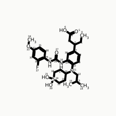 CCC(CC(=O)O)c1ccc(N(CC(C)C)C2CCS(O)(O)CC2)c(NC(=O)Nc2ccc(OC)cc2F)c1